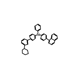 c1ccc(N(c2ccc(-c3cccc(C4CCCCC4)c3)cc2)c2ccc(-c3cccc4ccccc34)cc2)cc1